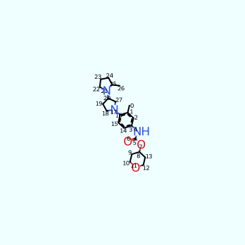 Cc1cc(NC(=O)OC2CCOCC2)ccc1N1CCC(N2CCCC2C)C1